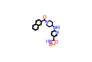 O=C(NO)c1ccc(NC2CCN(C(=O)c3ccc4ccccc4c3)CC2)nc1